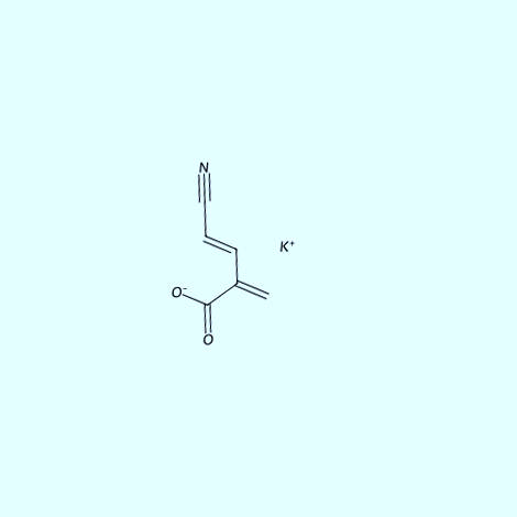 C=C(C=CC#N)C(=O)[O-].[K+]